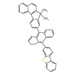 CC1(C)c2cc(-c3c4c(c(-c5ccc6c(c5)sc5ccccc56)c5ccccc35)CCC=C4)ccc2-c2c1ccc1ccccc21